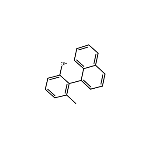 Cc1cccc(O)c1-c1cccc2ccccc12